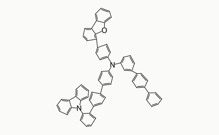 c1ccc(-c2ccc(-c3cccc(N(c4ccc(-c5ccc(-c6ccccc6-n6c7ccccc7c7ccccc76)cc5)cc4)c4ccc(-c5cccc6c5oc5ccccc56)cc4)c3)cc2)cc1